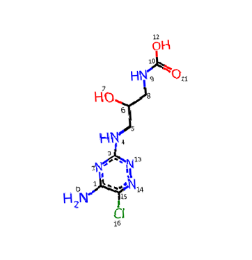 Nc1nc(NCC(O)CNC(=O)O)nnc1Cl